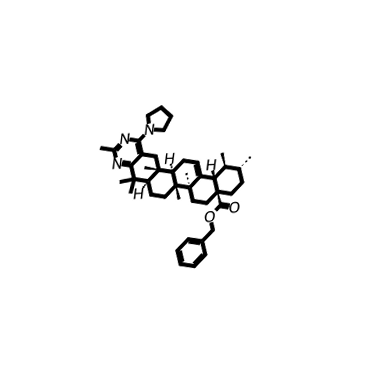 Cc1nc(N2CCCC2)c2c(n1)C(C)(C)[C@@H]1CC[C@]3(C)[C@H](CC=C4[C@@H]5[C@@H](C)[C@H](C)CC[C@]5(C(=O)OCc5ccccc5)CC[C@]43C)[C@@]1(C)C2